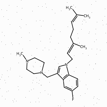 CC(C)=CCC/C(C)=C/Cn1cc(CN2CCN(C)CC2)c2cc(F)ccc21